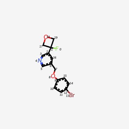 FC1(c2cncc(COc3ccc(Br)cc3)c2)COC1